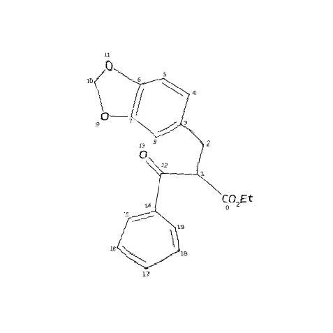 CCOC(=O)C(Cc1ccc2c(c1)OCO2)C(=O)c1ccccc1